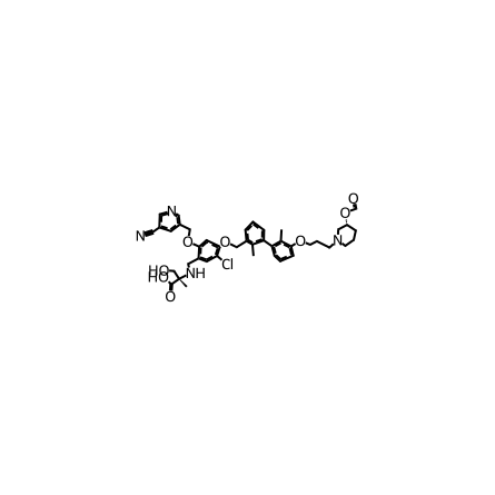 Cc1c(COc2cc(OCc3cncc(C#N)c3)c(CN[C@@](C)(CO)C(=O)O)cc2Cl)cccc1-c1cccc(OCCCN2CCC[C@@H](OC=O)C2)c1C